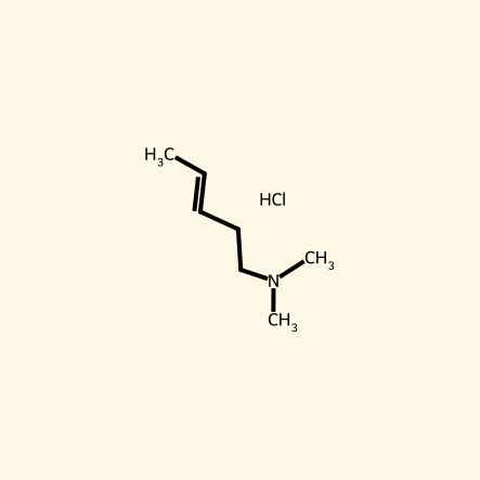 C/C=C/CCN(C)C.Cl